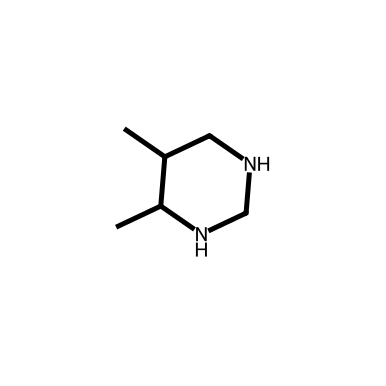 CC1CNCNC1C